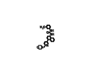 Cc1cccc(NC(=O)Nc2ccc(-c3ccc(CN4CCOCC4)nc3)c3ccccc23)c1